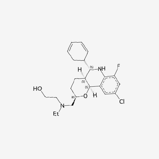 CCN(CCO)C[C@H]1CC[C@@H]2[C@H](O1)c1cc(Cl)cc(F)c1N[C@H]2C1C=CC=CC1